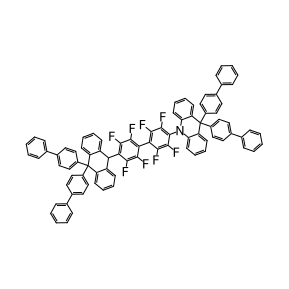 Fc1c(F)c(C2c3ccccc3C(c3ccc(-c4ccccc4)cc3)(c3ccc(-c4ccccc4)cc3)c3ccccc32)c(F)c(F)c1-c1c(F)c(F)c(N2c3ccccc3C(c3ccc(-c4ccccc4)cc3)(c3ccc(-c4ccccc4)cc3)c3ccccc32)c(F)c1F